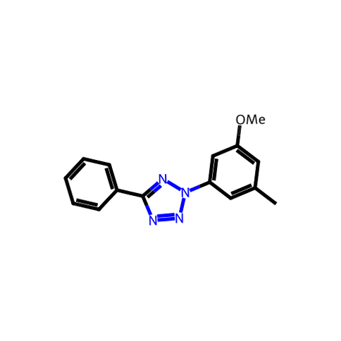 COc1cc(C)cc(-n2nnc(-c3ccccc3)n2)c1